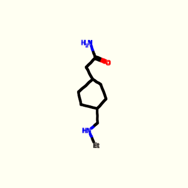 CCNCC1CCC(CC(N)=O)CC1